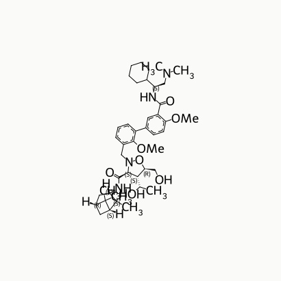 COc1ccc(-c2cccc(CN3O[C@@H](CO)[C@H](C(C)O)[C@H]3C(=O)N[C@H]3C[C@H]4C[C@@H]([C@@H]3C)C4(C)C)c2OC)cc1C(=O)N[C@H](CN(C)C)C1CCCCC1